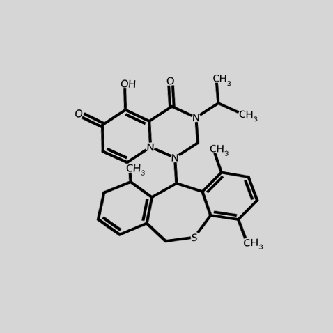 Cc1ccc(C)c2c1SCC1=C(C(C)CC=C1)C2N1CN(C(C)C)C(=O)c2c(O)c(=O)ccn21